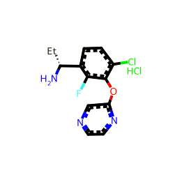 CC[C@@H](N)c1ccc(Cl)c(Oc2cnccn2)c1F.Cl